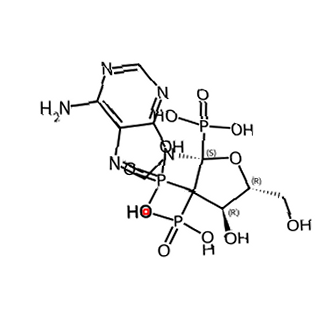 Nc1ncnc2c1ncn2[C@]1(P(=O)(O)O)O[C@H](CO)[C@@H](O)C1(P(=O)(O)O)P(=O)(O)O